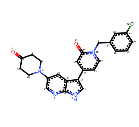 O=C1CCN(c2cnc3[nH]cc(-c4ccn(Cc5cccc(Cl)c5)c(=O)c4)c3c2)CC1